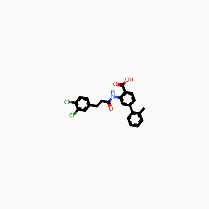 Cc1ccccc1-c1ccc(C(=O)O)c(NC(=O)CCc2ccc(Cl)c(Cl)c2)c1